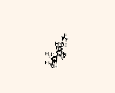 CC[C@@H](O)c1cc(C)c(-c2cc3nc(NC(=O)[C@H]4CC4(F)F)sc3n3ncnc23)cn1